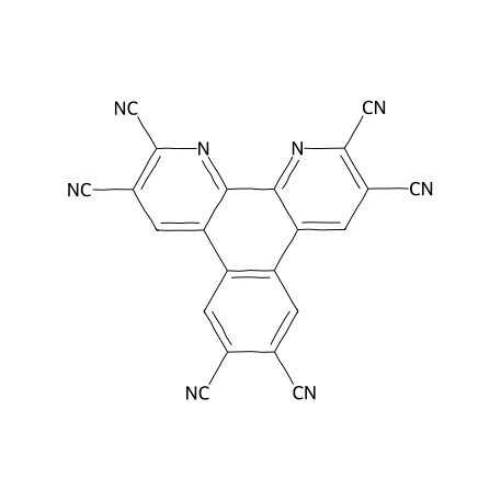 N#Cc1cc2c(cc1C#N)c1cc(C#N)c(C#N)nc1c1nc(C#N)c(C#N)cc21